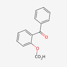 O=C(O)Oc1ccccc1C(=O)c1ccccc1